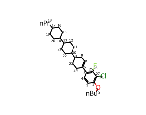 CCCCOc1ccc(C2=CCC(C3CCC(C4CCC(CCC)CC4)CC3)CC2)c(F)c1Cl